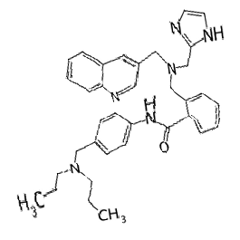 CCCN(CCC)Cc1ccc(NC(=O)c2ccccc2CN(Cc2cnc3ccccc3c2)Cc2ncc[nH]2)cc1